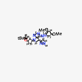 COc1ccc(CNc2ncnc3c2c(-c2ccn(C)n2)cn3[C@@H]2CC[C@H](O[Si](C)(C)C(C)(C)C)C2)c(OC)c1